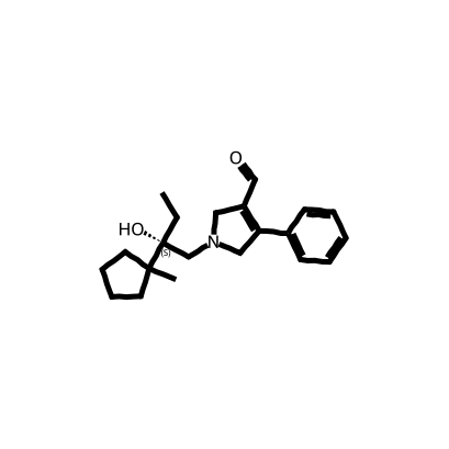 CC[C@@](O)(CN1CC(C=O)=C(c2ccccc2)C1)C1(C)CCCC1